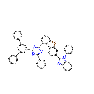 c1ccc(-c2cc(-c3ccccc3)cc(-c3nc(-c4ccccc4)nc(-c4cccc5sc6cc(-c7nc8ccccc8n7-c7ccccc7)ccc6c45)n3)c2)cc1